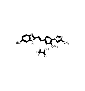 COc1cc(C=Cc2nc3ccc(C(C)(C)C)cc3[nH]2)ccc1-n1cnc(C)c1.O=C(O)C(F)(F)F